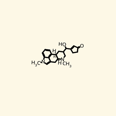 CN1CC(C(O)C2=CC(=O)CC2)C[C@@H]2c3cccc4c3c(cn4C)C[C@H]21